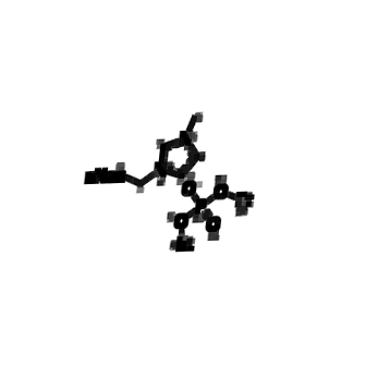 CCCCCCCCCC[n+]1ccn(C)c1.CCOP(=O)([O-])OCC